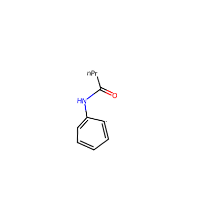 CCCC(=O)Nc1[c]cccc1